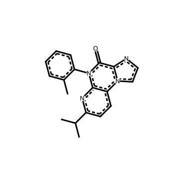 Cc1ccccc1-n1c(=O)c2nccn2c2ccc(C(C)C)nc21